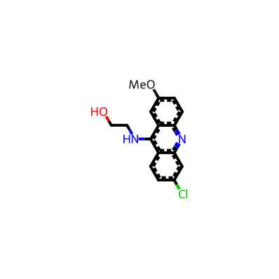 COc1ccc2nc3cc(Cl)ccc3c(NCCO)c2c1